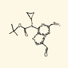 Bc1cn2c(C=O)cnc2c(N(C(=O)OC(C)(C)C)C2CC2)n1